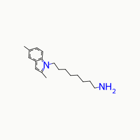 Cc1ccc2c(c1)cc(C)n2CCCCCCCCN